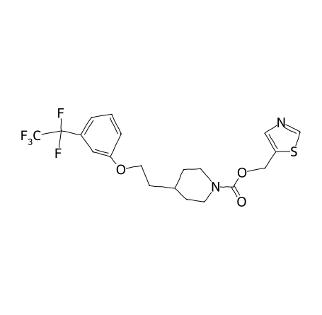 O=C(OCc1cncs1)N1CCC(CCOc2cccc(C(F)(F)C(F)(F)F)c2)CC1